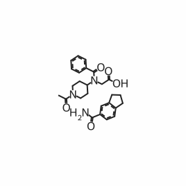 CC(=O)N1CCC(N(CC(=O)O)C(=O)c2ccccc2)CC1.NC(=O)c1ccc2c(c1)CCC2